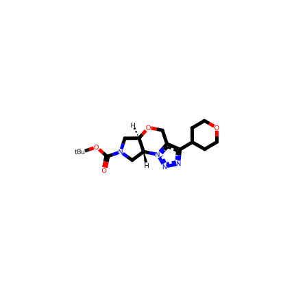 CC(C)(C)OC(=O)N1C[C@@H]2[C@@H](C1)OCc1c(C3CCOCC3)nnn12